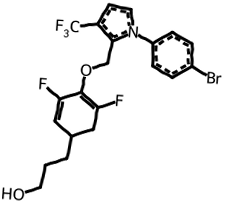 OCCCC1C=C(F)C(OCc2c(C(F)(F)F)ccn2-c2ccc(Br)cc2)=C(F)C1